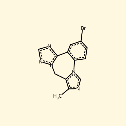 Cc1ncn2c1Cn1ncnc1-c1cc(Br)ccc1-2